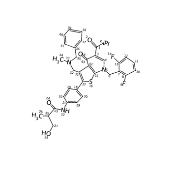 CC(C)C(=O)c1cn(Cc2c(F)cccc2F)c2sc(-c3ccc(NC(=O)C(C)CO)cc3)c(CN(C)Cc3ccccc3)c2c1=O